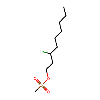 CCCCCCC(F)CCOS(C)(=O)=O